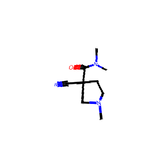 CN1CCC(C#N)(C(=O)N(C)C)C1